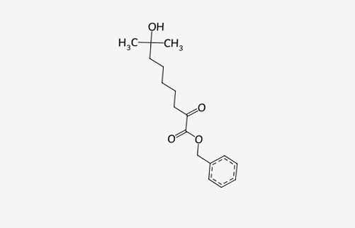 CC(C)(O)CCCCCC(=O)C(=O)OCc1ccccc1